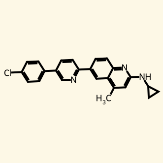 Cc1cc(NC2CC2)nc2ccc(-c3ccc(-c4ccc(Cl)cc4)cn3)cc12